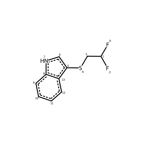 FC(F)CSc1c[nH]c2ccccc12